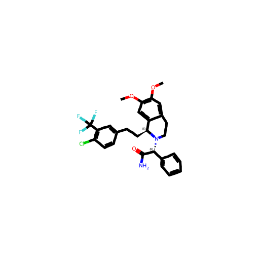 COc1cc2c(cc1OC)[C@H](CCc1ccc(Cl)c(C(F)(F)F)c1)N([C@@H](C(N)=O)c1ccccc1)CC2